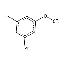 [CH2]c1cc(OC(F)(F)F)cc(C(C)C)c1